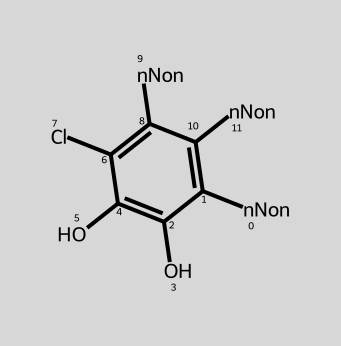 CCCCCCCCCc1c(O)c(O)c(Cl)c(CCCCCCCCC)c1CCCCCCCCC